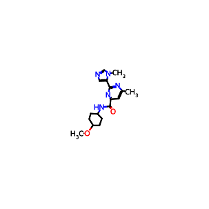 COC1CCC(NC(=O)c2cc(C)nc(-c3cncn3C)n2)CC1